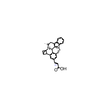 C[C@@H]1Cc2c(n(C)c3ccccc23)C2c3c(F)cc(/C=C/C(=O)O)cc3C3C4CC3(C4)N21